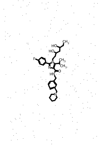 [CH2]CC(O)CC(O)CCn1c(-c2ccc(F)cc2)nc(C(=O)NCc2cccc(CN3CCCCC3)c2)c1C(C)C